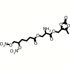 Cc1oc(=O)oc1COC(=O)C(N)COC(=O)CCCC(CO[N+](=O)[O-])O[N+](=O)[O-]